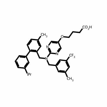 Cc1cc(CN(Cc2cc(C)ccc2-c2cccc(C(C)C)c2)c2ncc(OCCCC(=O)O)cn2)cc(C(F)(F)F)c1